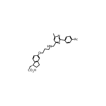 CC(=O)c1ccc(-c2nc(C)cc(CNCCCOc3ccc4c(c3)CC[C@H]4CC(=O)O)n2)cc1